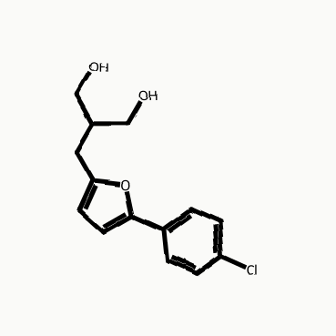 OCC(CO)Cc1ccc(-c2ccc(Cl)cc2)o1